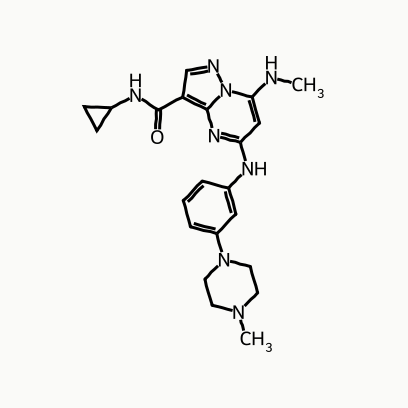 CNc1cc(Nc2cccc(N3CCN(C)CC3)c2)nc2c(C(=O)NC3CC3)cnn12